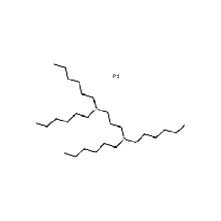 CCCCCCP(CCCCCC)CCCP(CCCCCC)CCCCCC.[Pd]